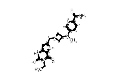 CCn1c(=O)[nH]c2cc(CN3CC(N(C)c4ccc(C(N)=O)nc4)C3)sc2c1=O